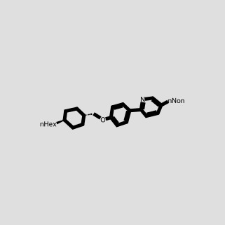 CCCCCCCCCc1ccc(-c2ccc(OC[C@H]3CC[C@H](CCCCCC)CC3)cc2)nc1